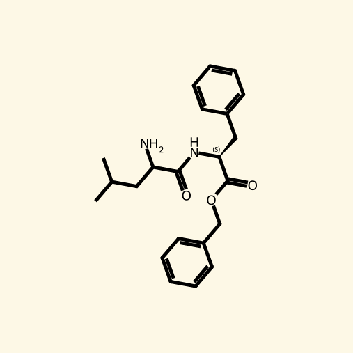 CC(C)CC(N)C(=O)N[C@@H](Cc1ccccc1)C(=O)OCc1ccccc1